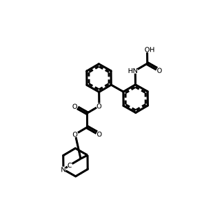 O=C(O)Nc1ccccc1-c1ccccc1OC(=O)C(=O)OC1CN2CCC1CC2